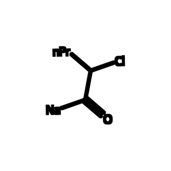 CCCC(Cl)[C](=O)[Na]